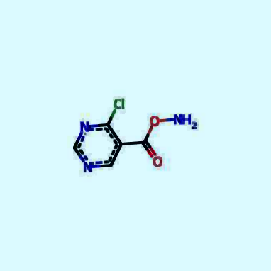 NOC(=O)c1cncnc1Cl